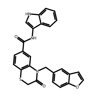 O=C(Nc1c[nH]c2ccccc12)c1ccc2c(c1)N(Cc1ccc3occc3c1)C(=O)CS2